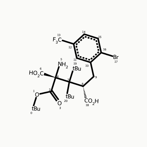 CC(C)(C)OC(=O)[C@@](N)(C(=O)O)C([C@H](Cc1cc(C(F)(F)F)ccc1Br)C(=O)O)(C(C)(C)C)C(C)(C)C